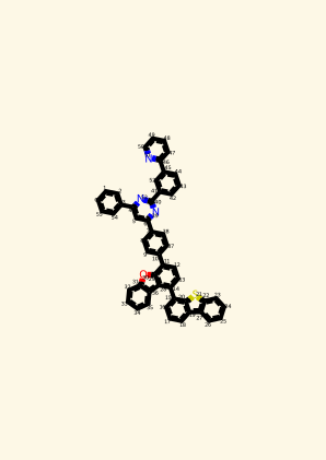 c1ccc(-c2cc(-c3ccc(-c4ccc(-c5cccc6c5sc5ccccc56)c5c4oc4ccccc45)cc3)nc(-c3cccc(-c4ccccn4)c3)n2)cc1